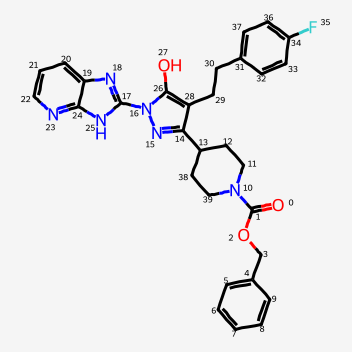 O=C(OCc1ccccc1)N1CCC(c2nn(-c3nc4cccnc4[nH]3)c(O)c2CCc2ccc(F)cc2)CC1